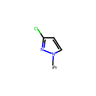 CC(C)n1c[c]c(Cl)n1